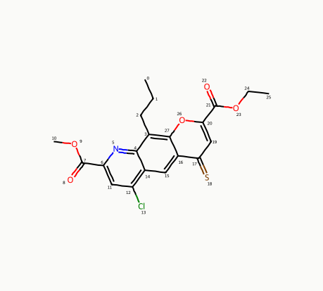 CCCc1c2nc(C(=O)OC)cc(Cl)c2cc2c(=S)cc(C(=O)OCC)oc12